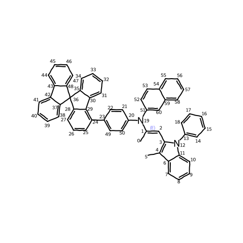 C/C(=C\c1c(C)c2ccccc2n1-c1ccccc1)N(c1ccc(-c2cccc3c2-c2ccccc2C32c3ccccc3-c3ccccc32)cc1)c1ccc2ccccc2c1